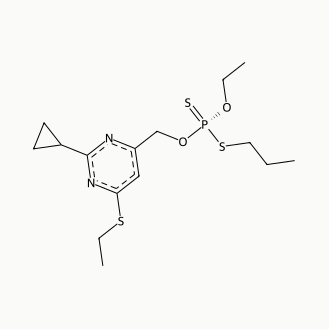 CCCS[P@@](=S)(OCC)OCc1cc(SCC)nc(C2CC2)n1